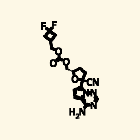 N#C[C@]1(c2ccc3c(N)ncnn23)CC[C@@H](COC(=O)OCC2CC(F)(F)C2)O1